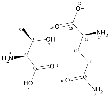 C[C@@H](O)[C@H](N)C(=O)O.NC(=O)CC[C@H](N)C(=O)O